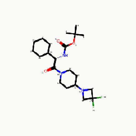 CC(C)(C)OC(=O)N[C@H](C(=O)N1CCC(N2CC(F)(F)C2)CC1)C1CCCCC1